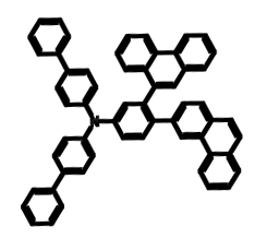 c1ccc(-c2ccc(N(c3ccc(-c4ccccc4)cc3)c3ccc(-c4ccc5ccc6ccccc6c5c4)c(-c4cc5ccccc5c5ccccc45)c3)cc2)cc1